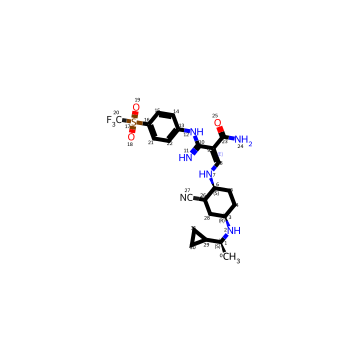 C[C@H](N[C@@H]1CC[C@H](N/C=C(\C(=N)Nc2ccc(S(=O)(=O)C(F)(F)F)cc2)C(N)=O)C(C#N)C1)C1CC1